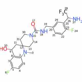 CN1c2ccc(F)cc2C(O)CC12CCN(C(=O)NCc1ccc(F)c(C(N)C(F)(F)F)c1)CC2